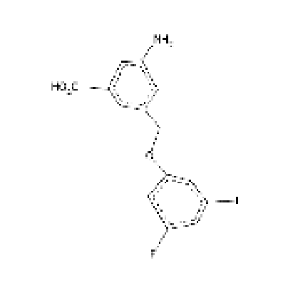 Nc1cc(COc2cc(F)cc(F)c2)cc(C(=O)O)c1